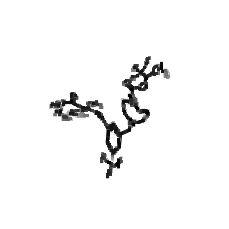 CC(OC(=O)N1CCN(Cc2cc(C#CC(C)(C)C(=O)O)cc(C(F)(F)F)c2)CC1)C(F)(F)F